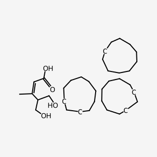 C1CCCCCCCCC1.C1CCCCCCCCC1.C1CCCCCCCCC1.CC(=CC(=O)O)C(CO)CO